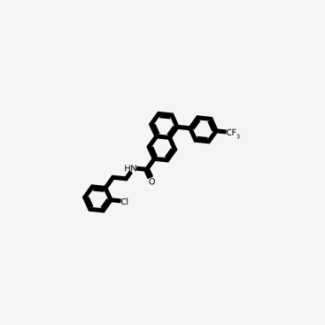 O=C(NCCc1ccccc1Cl)c1ccc2c(-c3ccc(C(F)(F)F)cc3)cccc2c1